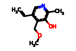 C=Cc1cnc(C)c(O)c1COC